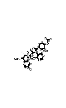 COc1ncnc(OC)c1-n1c(NS(=O)(=O)[C@@H](C)[C@H](OC)c2ncc(Cl)cn2)nnc1[C@H]1CC[C@H](OC(F)F)CC1